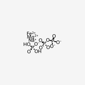 O=P([O-])(O)O.O=P([O-])([O-])OP(=O)([O-])[O-].[Fe+2].[Mg+2].[Na+]